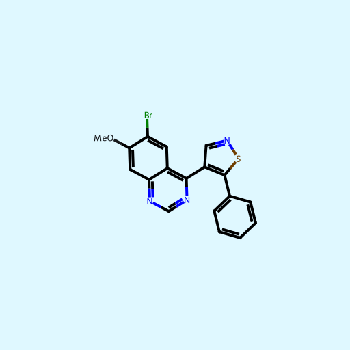 COc1cc2ncnc(-c3cnsc3-c3ccccc3)c2cc1Br